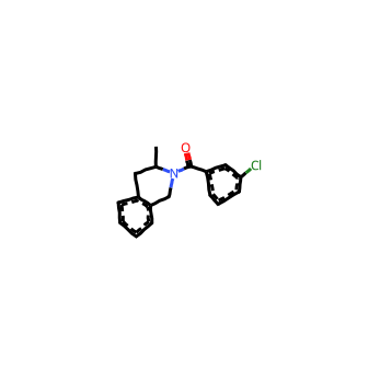 CC1Cc2ccccc2CN1C(=O)c1cccc(Cl)c1